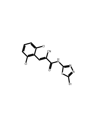 CCc1nnc(NC(=O)C(C#N)=Cc2c(Cl)cccc2Cl)s1